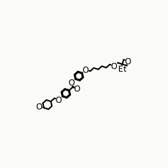 CCC1(COCCCCCCOc2ccc(OC(=O)c3ccc(OCC4CCC5OC5C4)cc3)cc2)COC1